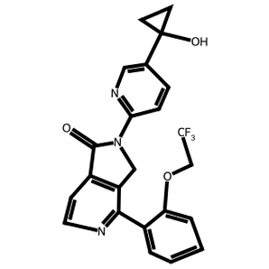 O=C1c2ccnc(-c3ccccc3OCC(F)(F)F)c2CN1c1ccc(C2(O)CC2)cn1